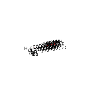 CCC(C)C(=O)NCNC(=O)C(C)CCC(CC(CC(CC(CC(CC(CC(CC(CC(CC(CCC(CC(CC(CC(CC(CC(CC(CC(CC)C(N)=O)C(N)=O)C(N)=O)C(N)=O)C(N)=O)C(N)=O)C(N)=O)C(N)=O)C(=O)O)C(=O)O)C(=O)O)C(=O)O)C(=O)O)C(=O)O)C(=O)O)C(=O)O)C(=O)O)C(=O)O